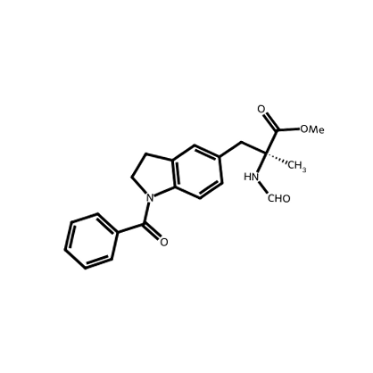 COC(=O)[C@](C)(Cc1ccc2c(c1)CCN2C(=O)c1ccccc1)NC=O